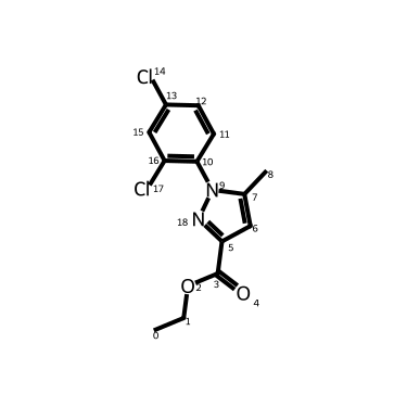 CCOC(=O)c1cc(C)n(-c2ccc(Cl)cc2Cl)n1